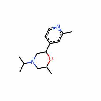 Cc1cc(C2CN(C(C)C)CC(C)O2)ccn1